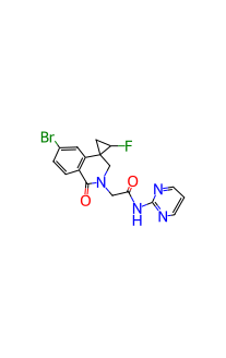 O=C(CN1CC2(CC2F)c2cc(Br)ccc2C1=O)Nc1ncccn1